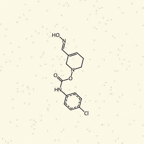 O=C(Nc1ccc(Cl)cc1)ON1CCC=C(C=NO)C1